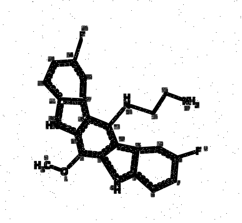 COc1c2[nH]c3ccc(F)cc3c2c(NCCN)c2c1[nH]c1ccc(F)cc12